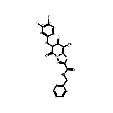 CC1=C2OC(C(=O)NCc3ccccc3)=NN2C(=O)C(Cc2ccc(F)c(F)c2)C1=O